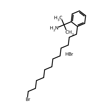 Br.CC(C)(N)c1ccccc1CCCCCCCCCCCCBr